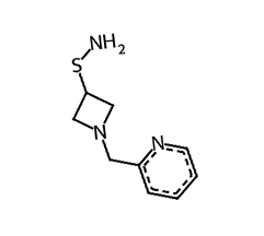 NSC1CN(Cc2ccccn2)C1